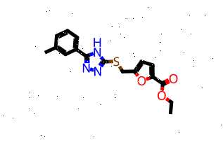 CCOC(=O)c1ccc(CSc2nnc(-c3cccc(C)c3)[nH]2)o1